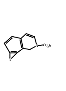 O=C(O)N1C=Cc2ccc3c(c2C1)O3